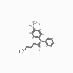 CCCCC(=O)N(c1ccccc1)c1ccc(OC)cc1